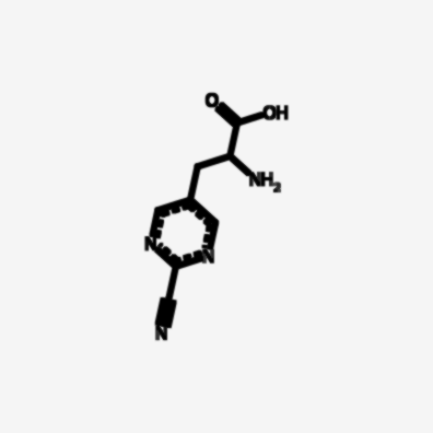 N#Cc1ncc(CC(N)C(=O)O)cn1